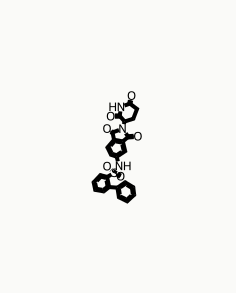 O=C1CCC(N2C(=O)c3ccc(NS(=O)(=O)c4ccccc4-c4ccccc4)cc3C2=O)C(=O)N1